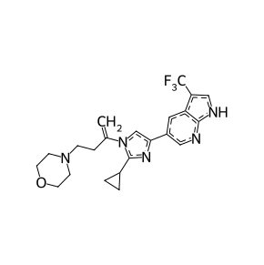 C=C(CCN1CCOCC1)n1cc(-c2cnc3[nH]cc(C(F)(F)F)c3c2)nc1C1CC1